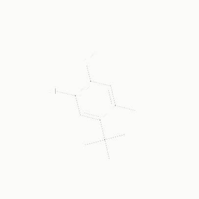 COc1cc(C)c(C(C)(C)C)cc1Cl